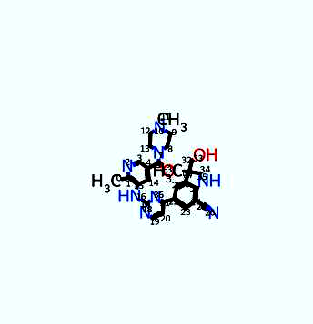 Cc1ncc(C(=O)N2CCN(C)CC2)cc1Nc1nccc(-c2cc(C#N)c3c(c2)[C@@](C)(CO)CN3)n1